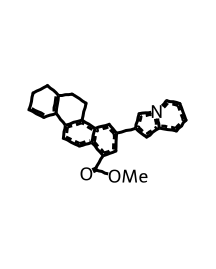 COC(=O)c1cc(-c2cc3ccccn3c2)cc2c3c(ccc12)C1=C(CCC=C1)CC3